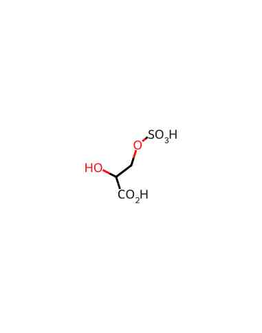 O=C(O)C(O)COS(=O)(=O)O